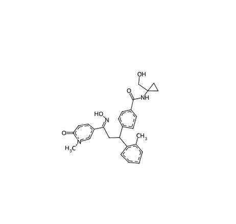 Cc1ccccc1C(CC(=NO)c1ccc(=O)n(C)c1)c1ccc(C(=O)NC2(CO)CC2)cc1